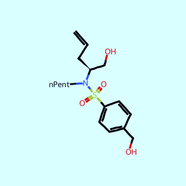 C=CC[C@@H](CO)N(CCCCC)S(=O)(=O)c1ccc(CO)cc1